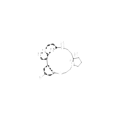 Fc1cc2cc(c1)-c1cnn3ccc(nc13)NCC[C@H]1CCCN1CCO2